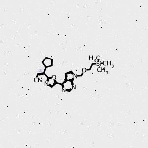 C[Si](C)(C)CCOCn1ccc2c(-c3cnc(/C(=C\C#N)C4CCCC4)o3)ncnc21